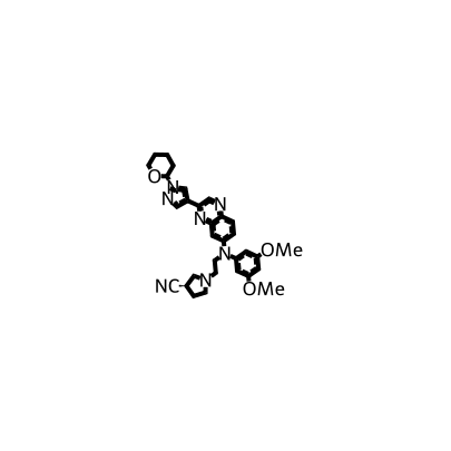 COc1cc(OC)cc(N(CCN2CC[C@H](C#N)C2)c2ccc3ncc(-c4cnn(C5CCCCO5)c4)nc3c2)c1